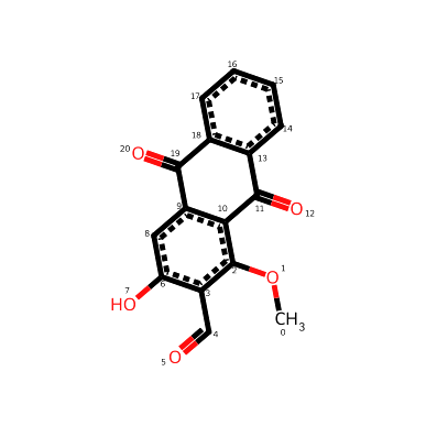 COc1c(C=O)c(O)cc2c1C(=O)c1ccccc1C2=O